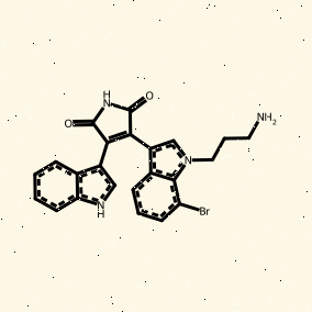 NCCCn1cc(C2=C(c3c[nH]c4ccccc34)C(=O)NC2=O)c2cccc(Br)c21